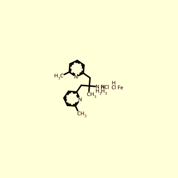 Cc1cccc(CC(C)(N)Cc2cccc(C)n2)n1.Cl.Cl.N.[Fe]